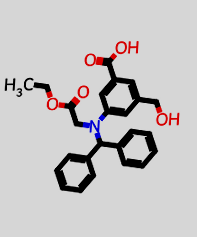 CCOC(=O)CN(c1cc(CO)cc(C(=O)O)c1)C(c1ccccc1)c1ccccc1